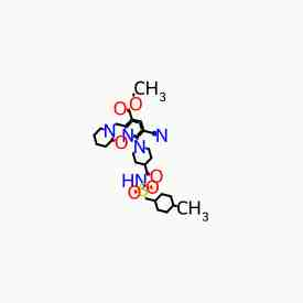 CCOC(=O)c1cc(C#N)c(N2CCC(C(=O)NS(=O)(=O)CC3CCC(C)CC3)CC2)nc1CN1CCCCC1=O